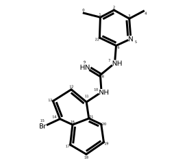 Cc1cc(C)nc(NC(=N)Nc2ccc(Br)c3ccccc23)c1